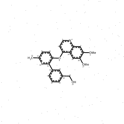 COc1cc2nccc(Oc3ccc(C)nc3-c3cccc(CO)c3)c2cc1OC